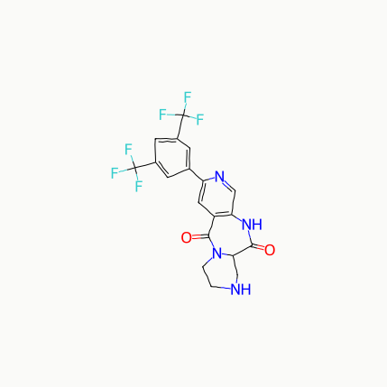 O=C1Nc2cnc(-c3cc(C(F)(F)F)cc(C(F)(F)F)c3)cc2C(=O)N2CCNCC12